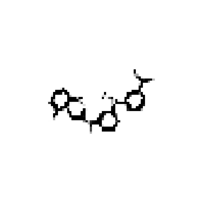 CC(=O)N(c1cccc(C(F)F)c1)c1cc(NC(=O)Cc2c(Cl)cccc2Cl)ccn1